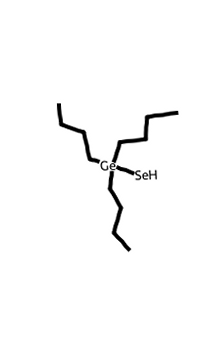 CCC[CH2][Ge]([SeH])([CH2]CCC)[CH2]CCC